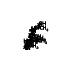 CC(CO)COc1ccn(-c2ccc(C(=O)NS(=O)(=O)c3cccnc3N)c(N3CCC(C)C3(C)C)n2)n1